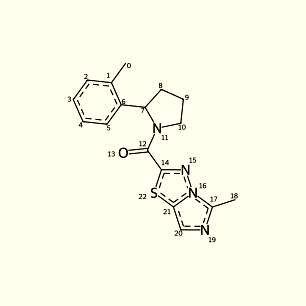 Cc1ccccc1C1CCCN1C(=O)c1nn2c(C)ncc2s1